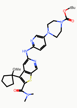 COC1(c2c(C(=O)N(C)C)sc3cnc(Nc4ccc(N5CCN(C(=O)OC(C)(C)C)CC5)cn4)cc23)CCCC1